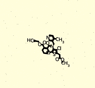 C#CCOC(=O)C1=C(C(=O)N(Cc2cnccc2C)c2c(Cl)sc(CC(=O)OC)c2Cl)CCCC1